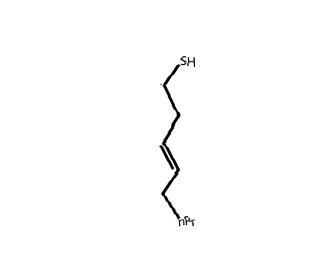 CCCCC=CC[CH]S